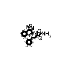 NC(=O)C(=O)C(CCc1ccccc1)NC(=O)c1nsnc1-c1ccccc1